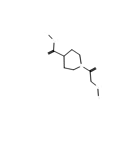 CCNC(=O)C1CCN(C(=O)CNC(C)C)CC1